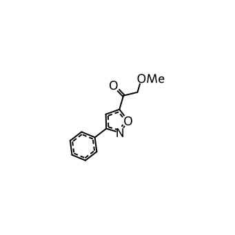 COCC(=O)c1cc(-c2ccccc2)no1